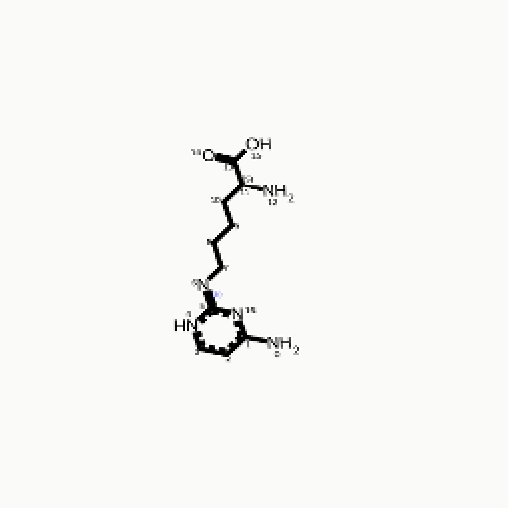 Nc1cc[nH]/c(=N/CCCC[C@H](N)C(=O)O)n1